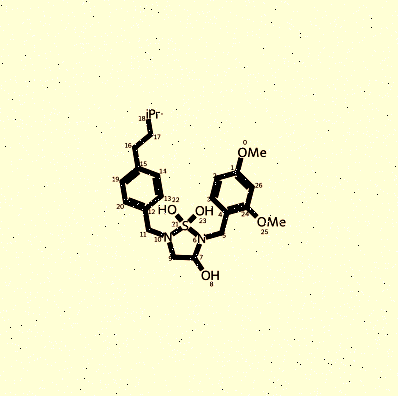 COc1ccc(CN2C(O)CN(Cc3ccc(CC[C](C)C)cc3)S2(O)O)c(OC)c1